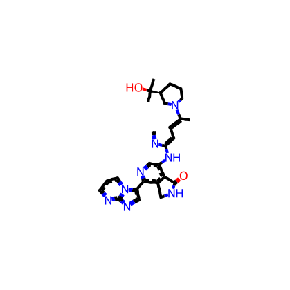 C=N/C(=C\C=C(/C)N1CCC[C@H](C(C)(C)O)C1)Nc1cnc(-c2cnc3ncccn23)c2c1C(=O)NC2